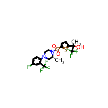 C[C@@H]1CN(c2ccc(F)cc2C(F)(F)F)CCN1S(=O)(=O)c1ccc(C(C)(O)C(F)(F)F)s1